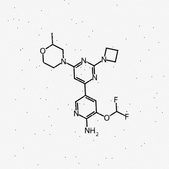 CC1CN(c2cc(-c3cnc(N)c(OC(F)F)c3)nc(N3CCC3)n2)CCO1